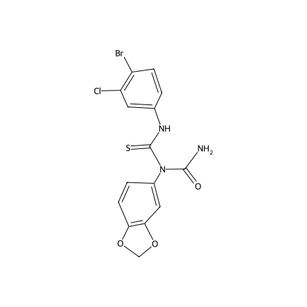 NC(=O)N(C(=S)Nc1ccc(Br)c(Cl)c1)c1ccc2c(c1)OCO2